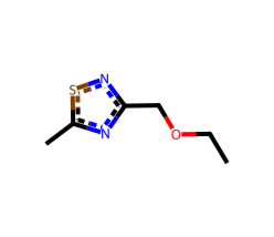 CCOCc1nsc(C)n1